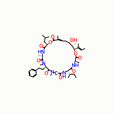 C/C=C(\C)[C@H]1OC(=O)[C@@H](C)NC(=O)[C@H](C(C)CC)NC(=O)CN(C)C(=O)[C@@H](CCc2ccccc2)N(C)C(=O)[C@H](C)NC(=O)[C@@H](CC(C)C)OC(=O)/C(C)=C/C[C@H](O)[C@@H]1C